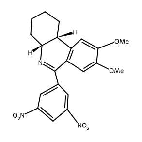 COc1cc2c(cc1OC)[C@H]1CCCC[C@H]1N=C2c1cc([N+](=O)[O-])cc([N+](=O)[O-])c1